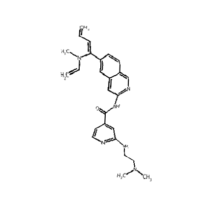 C=C/C=C(/c1ccc2cnc(NC(=O)c3ccnc(NCCN(C)C)c3)cc2c1)N(C)C=C